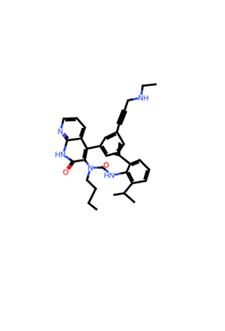 CCCCN(C(=O)Nc1c(C(C)C)cccc1C(C)C)c1c(-c2cccc(C#CCNCC)c2)c2cccnc2[nH]c1=O